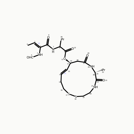 C/C=C(\NC=O)C(=O)NC(C(=O)O[C@@H]1/C=C/CCSSCCNC(=O)[C@@H](C(C)C)NC(=O)C1)C(C)C